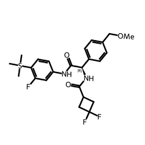 COCc1ccc([C@@H](NC(=O)C2CC(F)(F)C2)C(=O)Nc2ccc(S(C)(C)C)c(F)c2)cc1